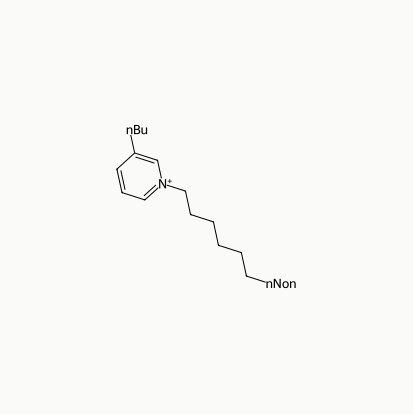 CCCCCCCCCCCCCCC[n+]1cccc(CCCC)c1